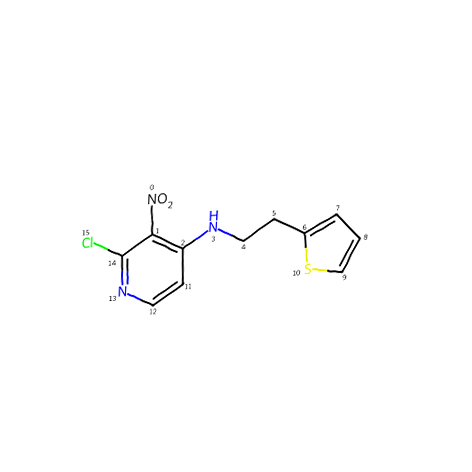 O=[N+]([O-])c1c(NCCc2cccs2)ccnc1Cl